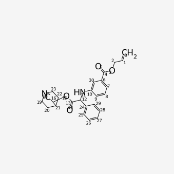 C=CCOC(=O)c1cccc(NC(C(=O)OC2CN3CCC2CC3)c2ccccc2)c1